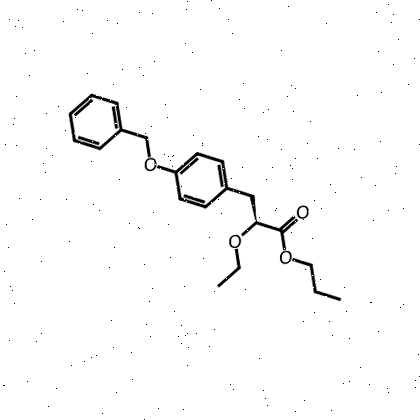 CCCOC(=O)[C@H](Cc1ccc(OCc2ccccc2)cc1)OCC